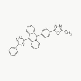 Cc1nnc(-c2ccc(-c3c4ccccc4c(-c4nc(-c5ccccc5)no4)c4ccccc34)cc2)o1